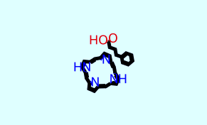 C1=Cc2cc3ccc(cc4nc(cc5ccc(cc1n2)[nH]5)C=C4)[nH]3.O=C(O)CCCc1ccccc1